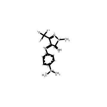 CN1N=C(C(F)(F)F)C(=Nc2ccc(N(C)C)cc2)C1=N